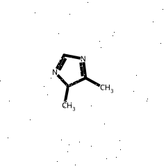 CC1=NC=NC1C